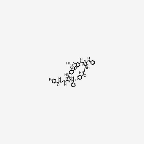 O=C(NCCNc1nc(Nc2ccccc2)nc(Nc2ccc(/C=C/c3ccc(Nc4nc(NCCNC(=O)c5ccc(F)cc5)nc(Nc5ccccc5)n4)cc3S(=O)(=O)O)c(S(=O)(=O)O)c2)n1)c1ccc(F)cc1